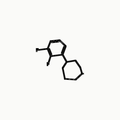 Fc1cccc(C2CC[CH]CCC2)c1F